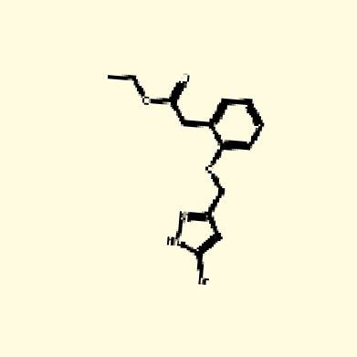 CCOC(=O)Cc1ccccc1OCc1cc(Br)[nH]n1